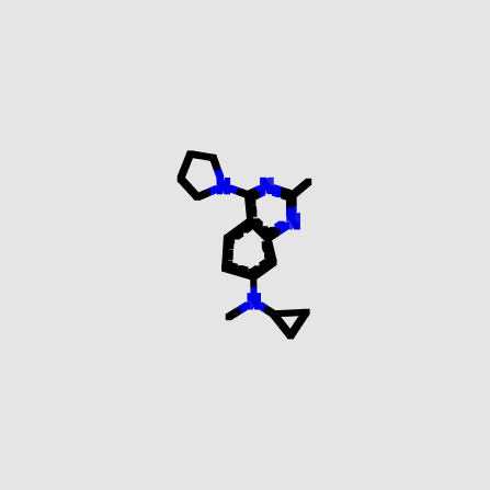 Cc1nc(N2CCCC2)c2ccc(N(C)C3CC3)cc2n1